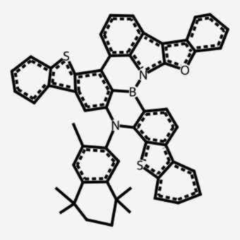 Cc1cc2c(cc1N1c3cc4c(sc5ccccc54)c4c3B(c3ccc5c(sc6ccccc65)c31)n1c3oc5ccccc5c3c3cccc-4c31)C(C)(C)CCC2(C)C